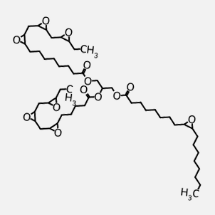 CCCCCCCCC1OC1CCCCCCCC(=O)OCC(COC(=O)CCCCCCCC1OC1CC1OC1CC1OC1CC)OC(=O)CCCCC1OC1CC1OC1CC1OC1CC